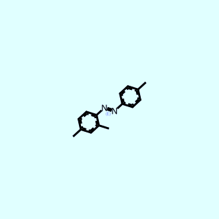 Cc1ccc(/N=N/c2ccc(C)cc2C)cc1